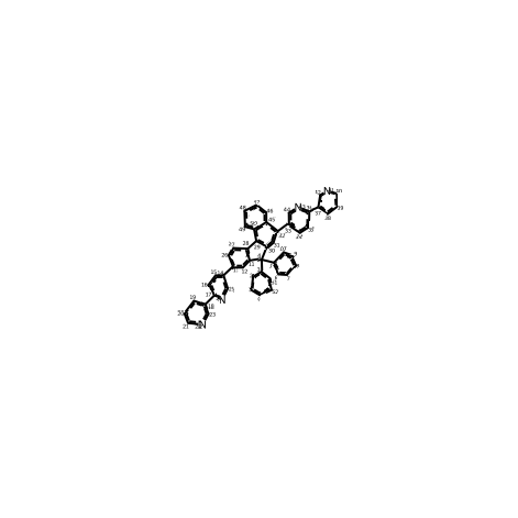 c1ccc(C2(c3ccccc3)c3cc(-c4ccc(-c5cccnc5)nc4)ccc3-c3c2cc(-c2ccc(-c4cccnc4)nc2)c2ccccc32)cc1